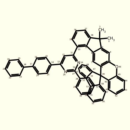 CC1(C)c2cc3c(cc2-c2c(-c4cc(-c5ccc(-c6ccccc6)cc5)nc(-c5ccccc5)n4)cccc21)C1(c2ccccc2O3)c2ccccc2-c2ccccc21